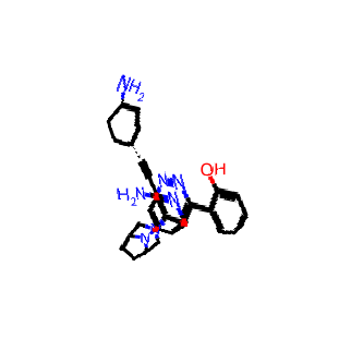 Nc1nnc(-c2ccccc2O)cc1N1CC2CCC(C1)N2c1ccnc(C#C[C@H]2CC[C@H](N)CC2)c1